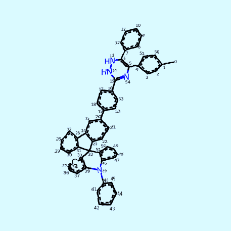 Cc1ccc(C2=C(c3ccccc3)NNC(c3ccc(-c4ccc5c(c4)-c4ccccc4C54c5ccccc5N(c5ccccc5)c5ccccc54)cc3)=N2)cc1